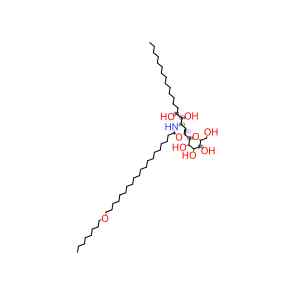 CCCCCCCCCCCCCC[C@@H](O)[C@@H](O)[C@H](/C=C/[C@H]1OC(CO)[C@H](O)C(O)C1O)NC(=O)CCCCCCCCCCCCCCCCCCCOCCCCCCCC